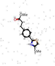 [C]Sc1csc(-c2ccc(CCC(=O)OC)cc2)n1